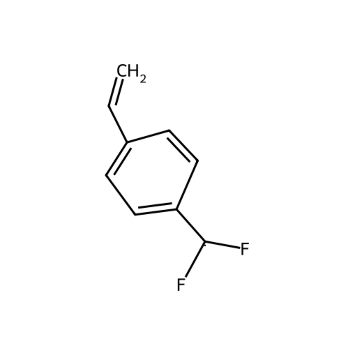 C=Cc1ccc([C](F)F)cc1